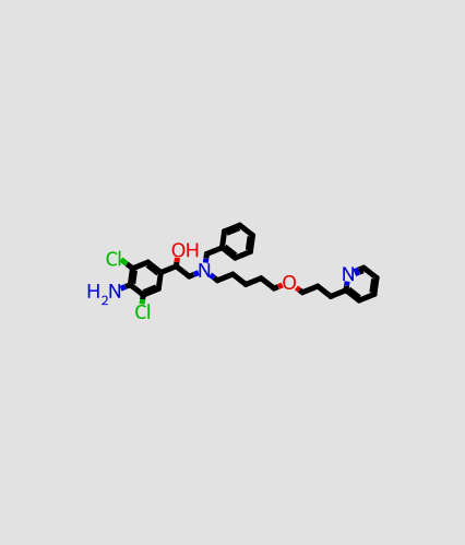 Nc1c(Cl)cc(C(O)CN(CCCCCOCCCc2ccccn2)Cc2ccccc2)cc1Cl